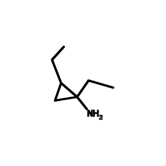 CCC1CC1(N)CC